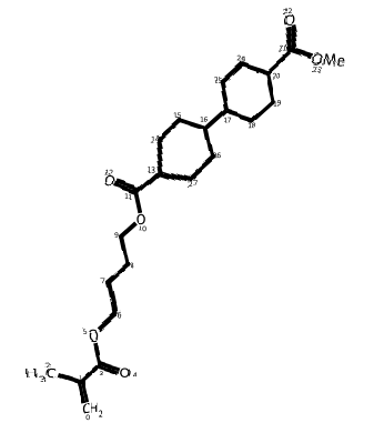 C=C(C)C(=O)OCCCCOC(=O)C1CCC(C2CCC(C(=O)OC)CC2)CC1